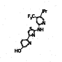 CC(C)c1cnc(Nc2nc(-c3ccc(O)cn3)cs2)cc1C(F)(F)F